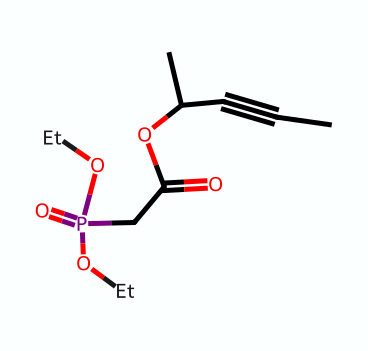 CC#CC(C)OC(=O)CP(=O)(OCC)OCC